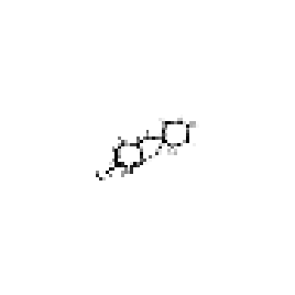 FC1(Cc2ccc(Cl)nc2)CCCCC1